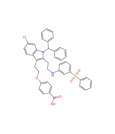 O=C(O)c1ccc(OCCc2c(CCNc3cccc(S(=O)(=O)c4ccccc4)c3)n(C(c3ccccc3)c3ccccc3)c3cc(Cl)ccc23)cc1